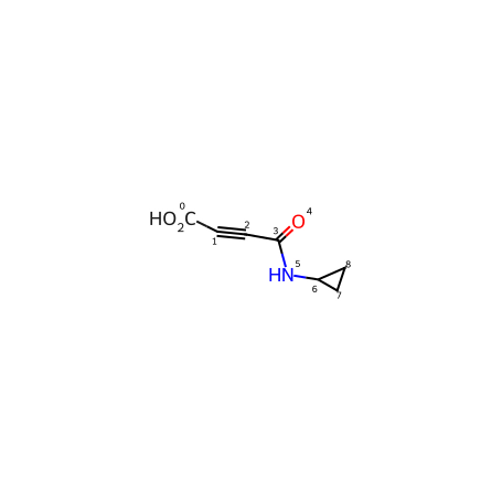 O=C(O)C#CC(=O)NC1CC1